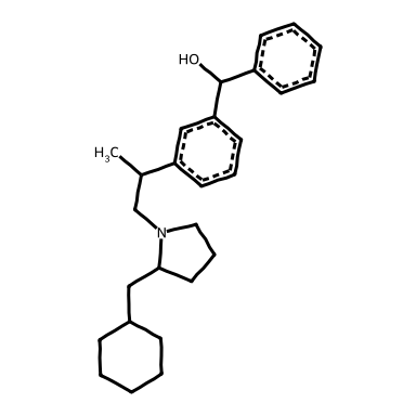 CC(CN1CCCC1CC1CCCCC1)c1cccc(C(O)c2ccccc2)c1